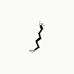 C=CCC=CCN